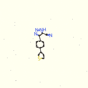 N#Cc1[nH]nnc1-c1ccc(-c2ccsc2)cc1